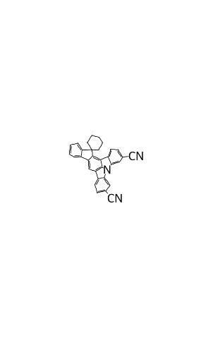 N#Cc1ccc2c3cc4c(c5c6ccc(C#N)cc6n(c2c1)c35)C1(CCCCC1)c1ccccc1-4